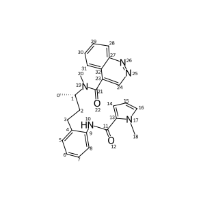 C[C@@H](CCc1ccccc1NC(=O)c1cccn1C)N(C)C(=O)c1cnnc2ccccc12